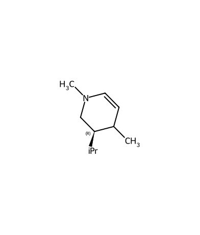 CC(C)[C@H]1CN(C)C=CC1C